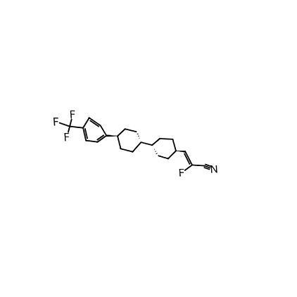 N#CC(F)=C[C@H]1CC[C@H]([C@H]2CC[C@H](c3ccc(C(F)(F)F)cc3)CC2)CC1